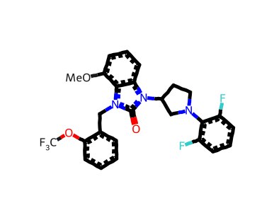 COc1cccc2c1n(Cc1ccccc1OC(F)(F)F)c(=O)n2C1CCN(c2c(F)cccc2F)C1